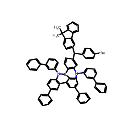 CC(C)(C)c1ccc(C(c2ccc3c(c2)-c2ccccc2C3(C)C)c2ccc3c(c2)N(c2cccc(-c4ccccc4)c2)c2cc(-c4ccccc4)cc4c2B3N(c2cccc(-c3ccccc3)c2)c2ccc(-c3ccccc3)cc2-4)cc1